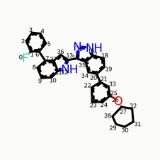 Fc1ccccc1-c1cccc2[nH]c(-c3n[nH]c4ccc(-c5cccc(OC6CCCCC6)c5)cc34)cc12